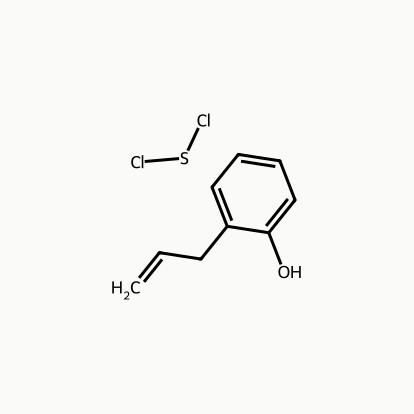 C=CCc1ccccc1O.ClSCl